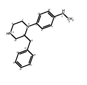 CNc1ccc(N2CCNCC2Cc2ccccc2)cc1